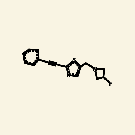 FC1CN(Cc2cnc(C#Cc3ccccc3)s2)C1